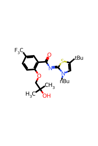 CCCCn1cc(C(C)(C)C)sc1=NC(=O)c1cc(C(F)(F)F)ccc1OCC(C)(C)O